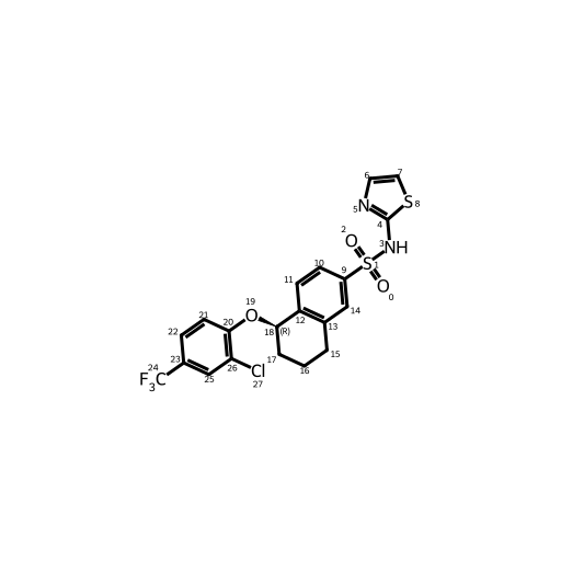 O=S(=O)(Nc1nccs1)c1ccc2c(c1)CCC[C@H]2Oc1ccc(C(F)(F)F)cc1Cl